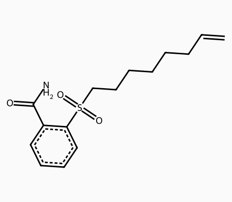 C=CCCCCCCS(=O)(=O)c1ccccc1C(N)=O